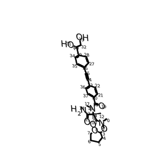 CN(OC1CCCCO1)C(=O)[C@](C)(C(N)=O)N(C)C(=O)c1ccc(C#Cc2ccc([C@@H](O)CO)cc2)cc1